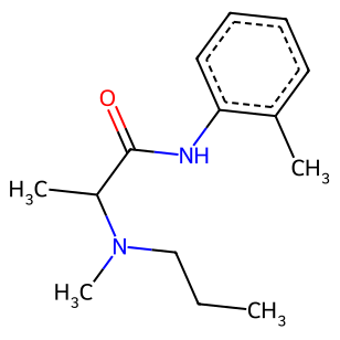 CCCN(C)C(C)C(=O)Nc1ccccc1C